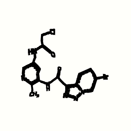 Cc1ncc(NC(=O)CCl)cc1NC(=O)c1nnn2cc(Br)ccc12